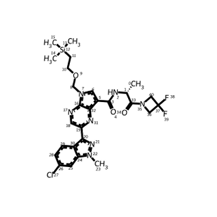 C[C@@H](NC(=O)c1cn(COCC[Si](C)(C)C)c2ncc(-c3nn(C)c4cc(Cl)ccc34)nc12)C(=O)N1CC(F)(F)C1